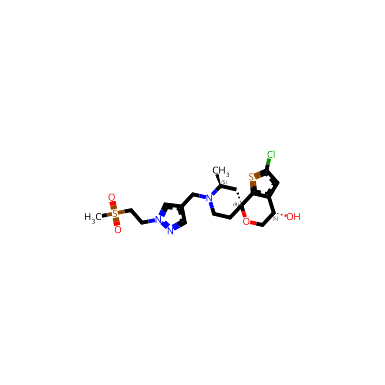 C[C@H]1C[C@@]2(CCN1Cc1cnn(CCS(C)(=O)=O)c1)OC[C@@H](O)c1cc(Cl)sc12